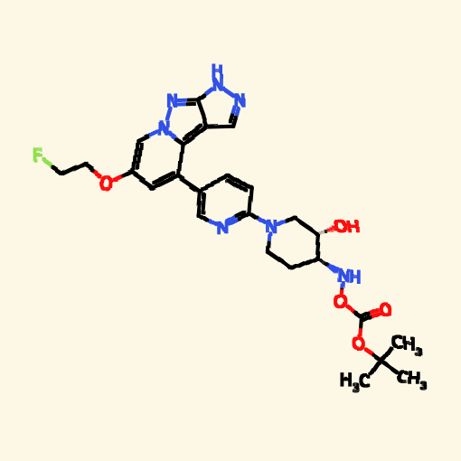 CC(C)(C)OC(=O)ON[C@H]1CCN(c2ccc(-c3cc(OCCF)cn4nc5[nH]ncc5c34)cn2)C[C@@H]1O